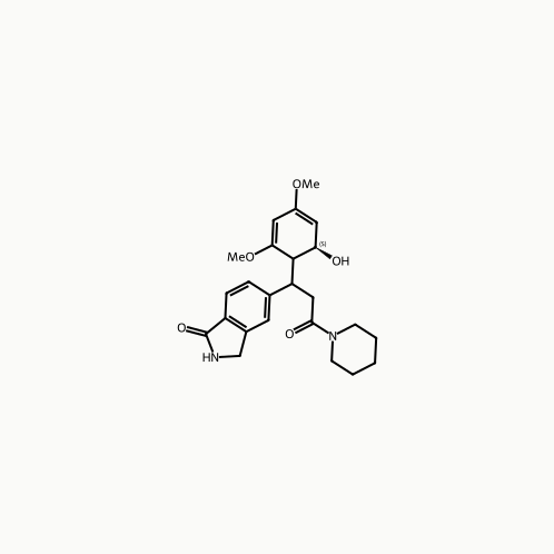 COC1=C[C@@H](O)C(C(CC(=O)N2CCCCC2)c2ccc3c(c2)CNC3=O)C(OC)=C1